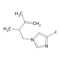 C=C(C)C(C)Cn1cnc(I)c1